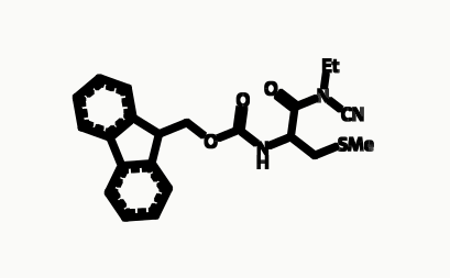 CCN(C#N)C(=O)C(CSC)NC(=O)OCC1c2ccccc2-c2ccccc21